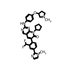 CN1CCC(Oc2ccc(Nc3ncc4cc(-c5ccc(-c6nccn6C)cc5C(F)F)c(=O)n(C5CCCC5)c4n3)cc2)C1